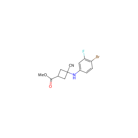 COC(=O)C1CC(C#N)(Nc2ccc(Br)c(F)c2)C1